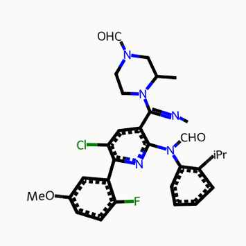 C/N=C(\c1cc(Cl)c(-c2cc(OC)ccc2F)nc1N(C=O)c1ccccc1C(C)C)N1CCN(C=O)CC1C